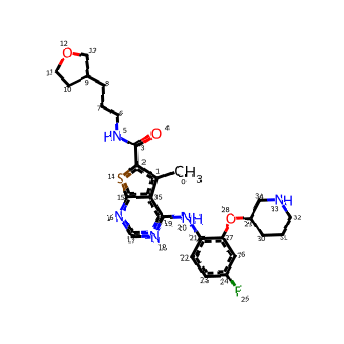 Cc1c(C(=O)NCCCC2CCOC2)sc2ncnc(Nc3ccc(F)cc3OC3CCCNC3)c12